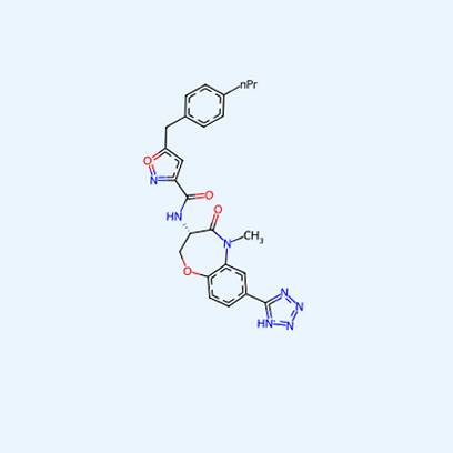 CCCc1ccc(Cc2cc(C(=O)N[C@H]3COc4ccc(-c5nnn[nH]5)cc4N(C)C3=O)no2)cc1